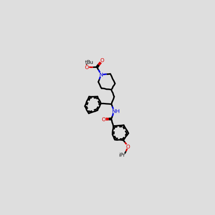 CC(C)Oc1ccc(C(=O)NC(CC2CCN(C(=O)OC(C)(C)C)CC2)c2ccccc2)cc1